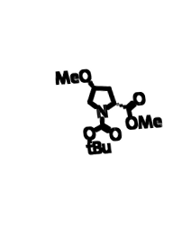 COC(=O)[C@H]1C[C@H](OC)CN1C(=O)OC(C)(C)C